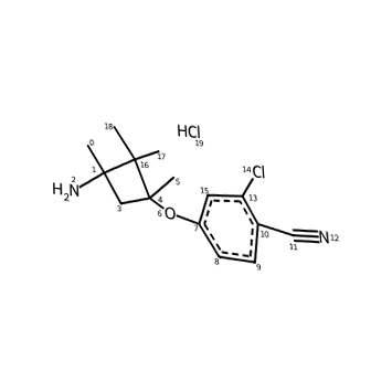 CC1(N)CC(C)(Oc2ccc(C#N)c(Cl)c2)C1(C)C.Cl